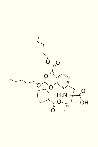 CCCCCOC(=O)Oc1ccc(CC(N)(C[C@H](C)OC(=O)C2CCCCC2)C(=O)O)cc1OC(=O)OCCCCC